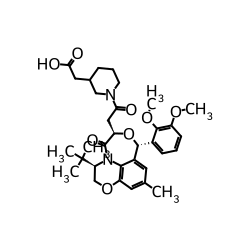 COc1cccc([C@H]2O[C@H](CC(=O)N3CCCC(CC(=O)O)C3)C(=O)N3c4c(cc(C)cc42)OC[C@H]3C(C)(C)C)c1OC